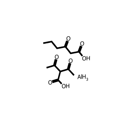 CC(=O)C(C(C)=O)C(=O)O.CCCC(=O)CC(=O)O.[AlH3]